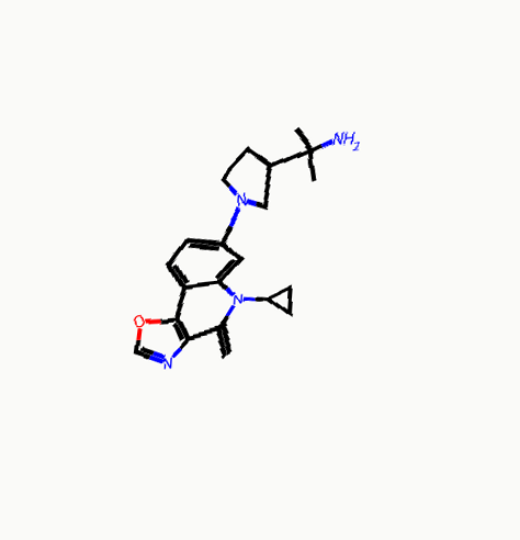 C=C1c2ncoc2-c2ccc(N3CCC(C(C)(C)N)C3)cc2N1C1CC1